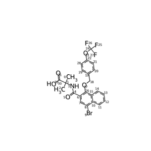 CC(C)(NC(=O)c1cc(Br)c2ccccc2c1OCc1ccc(OC(F)(F)F)cc1)C(=O)O